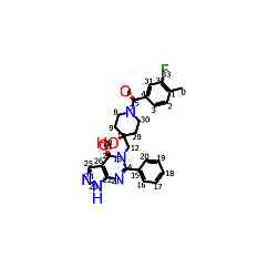 Cc1ccc(C(=O)N2CCC(O)(Cn3c(-c4ccccc4)nc4[nH]ncc4c3=O)CC2)cc1F